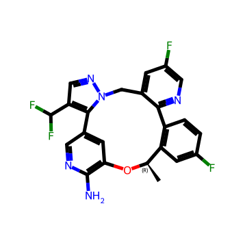 C[C@H]1Oc2cc(cnc2N)-c2c(C(F)F)cnn2Cc2cc(F)cnc2-c2ccc(F)cc21